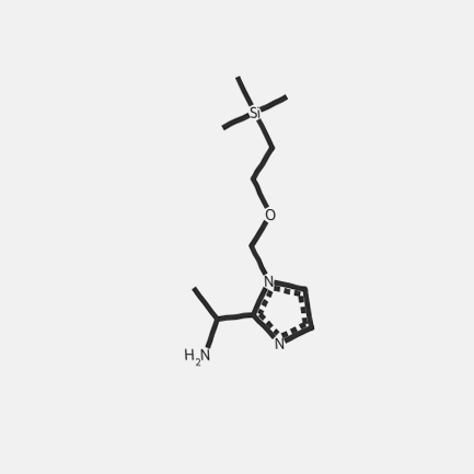 CC(N)c1nccn1COCC[Si](C)(C)C